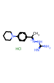 C/C(=N\NC(=N)N)c1ccc(N2CCCCC2)cc1.Cl